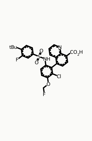 CC(C)(C)c1ccc(S(=O)(=O)Nc2ccc(OCF)c(Cl)c2-c2ccc(C(=O)O)c3ncccc23)cc1F